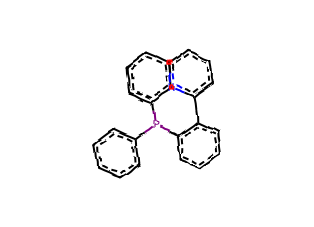 c1ccc(P(c2ccccc2)c2ccccc2-c2ccccn2)cc1